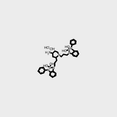 Cl.Cl.NC1CCN(CCCN2c3ccccc3N(c3ccccc3)S2(O)O)C(CCCN2c3ccccc3N(c3ccccc3)S2(O)O)C1